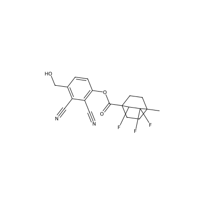 CC12CCC(C(=O)Oc3ccc(CO)c(C#N)c3C#N)(CC1)C(F)C2(F)F